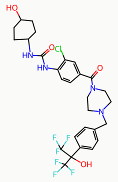 O=C(Nc1ccc(C(=O)N2CCN(Cc3ccc(C(O)(C(F)(F)F)C(F)(F)F)cc3)CC2)cc1Cl)NC1CCC(O)CC1